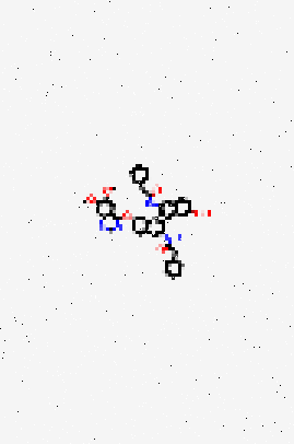 COc1cc2ncnc(Oc3ccc4cc(NC(=O)Cc5ccccc5)ccc4c3)c2cc1OC.O=C(Cc1ccccc1)Nc1ccc2cc(O)ccc2c1